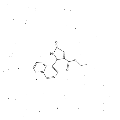 CCOC(=O)C1=CC(=O)NC1c1cccc2ccccc12